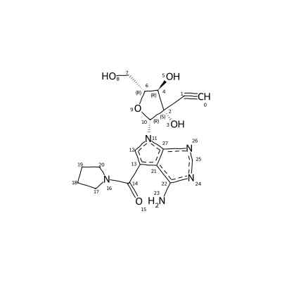 C#C[C@]1(O)[C@H](O)[C@@H](CO)O[C@H]1n1cc(C(=O)N2CCCC2)c2c(N)ncnc21